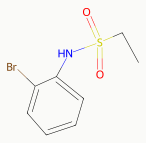 CCS(=O)(=O)Nc1ccccc1Br